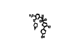 CN1CC[C@@H](Oc2cc(NS(=O)(=O)c3cc(Cl)c(-c4ccc(O)cc4)s3)ccc2C(F)(F)F)C1